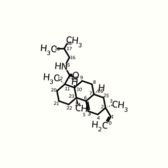 C=C[C@@]1(C)CC=C2[C@@H](CC[C@@H]3[C@](C)(C(=O)NCC(C)C)CCC[C@@]23C)C1